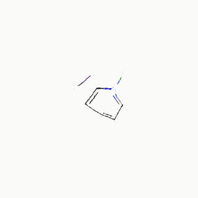 CI.F[n+]1ccccc1